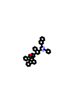 c1ccc(-c2nc(-c3ccc4ccccc4c3)cc(-c3ccc(-c4cccc(-c5cccc6c5C(c5ccccc5)(c5ccccc5)c5ccccc5-6)c4)c4ccccc34)n2)cc1